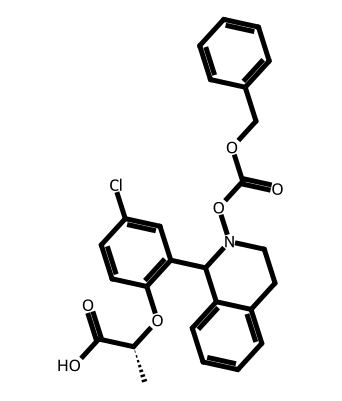 C[C@@H](Oc1ccc(Cl)cc1C1c2ccccc2CCN1OC(=O)OCc1ccccc1)C(=O)O